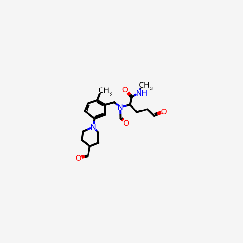 CNC(=O)C(CCC=O)N(C=O)Cc1cc(N2CCC(C=O)CC2)ccc1C